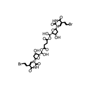 O=C(CCC(=O)OC(O)[C@H]1O[C@@H](n2cc(C=CBr)c(=O)[nH]c2=O)C[C@@H]1O)OC(O)[C@H]1O[C@@H](n2cc(C=CBr)c(=O)[nH]c2=O)C[C@@H]1O